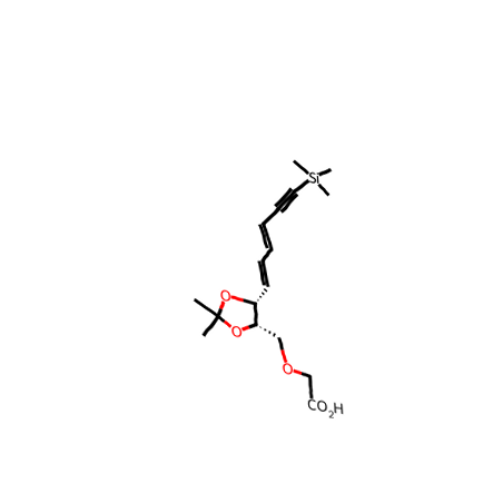 CC1(C)O[C@@H](COCC(=O)O)[C@@H](/C=C/C=C/C#C[Si](C)(C)C)O1